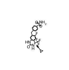 NS(=O)(=O)c1ccc(Cc2cc3c(cc2F)[C@@](C#CC2CC2)(C(F)(F)F)NC(=O)N3)cc1